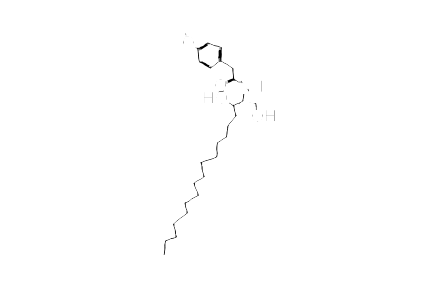 CCCCCCCCCCCCCCCC(O)[C@H](CO)NC(=O)Cc1ccc(OC)cc1